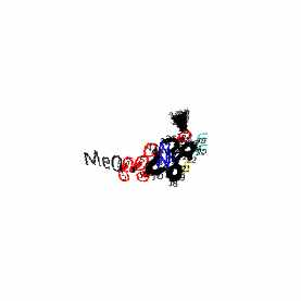 COC(=O)OCOc1c2n(ccc1=O)N([C@@H]1c3ccccc3SCc3c1ccc(F)c3F)[C@@H]1CC(OC3CC3)CCN1C2=O